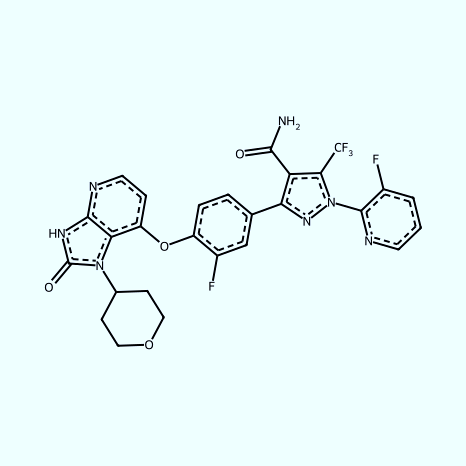 NC(=O)c1c(-c2ccc(Oc3ccnc4[nH]c(=O)n(C5CCOCC5)c34)c(F)c2)nn(-c2ncccc2F)c1C(F)(F)F